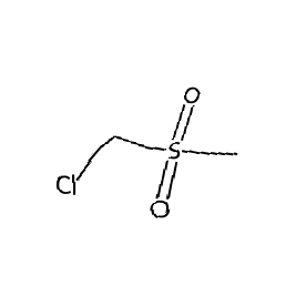 CS(=O)(=O)CCl